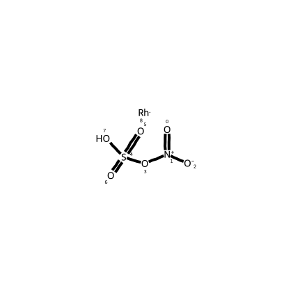 O=[N+]([O-])OS(=O)(=O)O.[Rh]